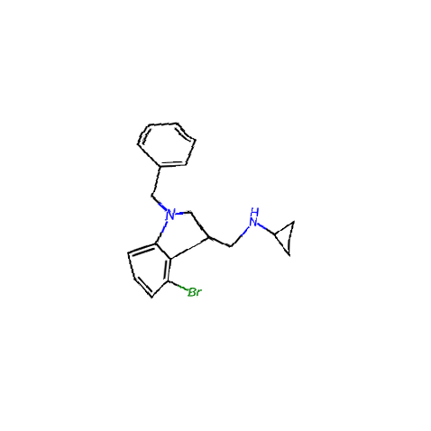 Brc1cccc2c1C(CNC1CC1)CN2Cc1ccccc1